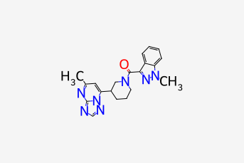 Cc1cc(C2CCCN(C(=O)c3nn(C)c4ccccc34)C2)n2ncnc2n1